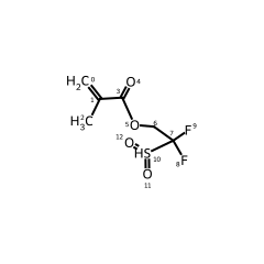 C=C(C)C(=O)OCC(F)(F)[SH](=O)=O